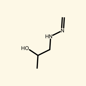 C=NNCC(C)O